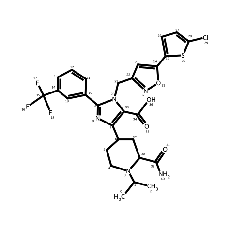 CC(C)N1CCC(c2nc(-c3cccc(C(F)(F)F)c3)n(Cc3cc(-c4ccc(Cl)s4)on3)c2C(=O)O)CC1C(N)=O